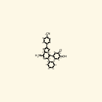 N#Cc1ccc(-c2cn3c(-c4ccc(O)c(Cl)c4)c(-c4ccccc4)nc(N)c3n2)cc1